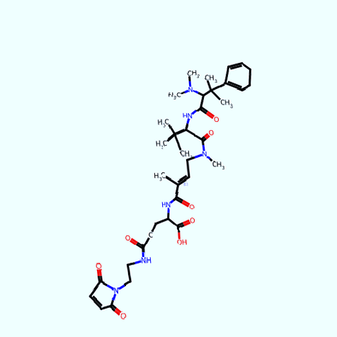 C/C(=C\CN(C)C(=O)C(NC(=O)C(N(C)C)C(C)(C)C1=CCCC=C1)C(C)(C)C)C(=O)NC(CCC(=O)NCCN1C(=O)C=CC1=O)C(=O)O